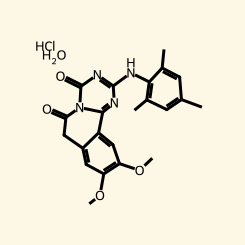 COc1cc2c(cc1OC)-c1nc(Nc3c(C)cc(C)cc3C)nc(=O)n1C(=O)C2.Cl.O